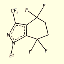 CCn1nc(C(F)(F)F)c2c1C(F)(F)CCC2(F)F